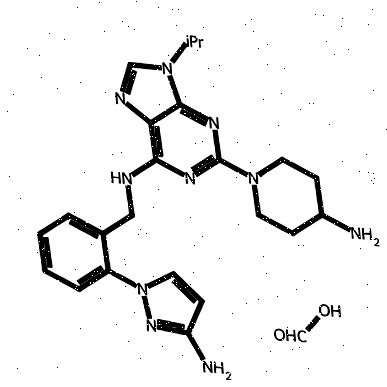 CC(C)n1cnc2c(NCc3ccccc3-n3ccc(N)n3)nc(N3CCC(N)CC3)nc21.O=CO